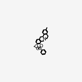 COc1ccc2c(c1OS(=O)c1ccccc1)CN1CCc3cc(C)ccc3C1C2